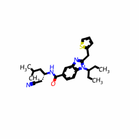 CCC(CC)n1c(Cc2cccs2)nc2cc(C(=O)N[C@H](CC#N)CC(C)C)ccc21